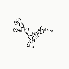 COc1cc(S(C)(=O)=O)ccc1NCC#Cc1cc(C(=O)N[C@@H]2[C@@H](C)CN(CCCF)CC2(F)F)c2ncn(CC(F)(F)F)c2c1